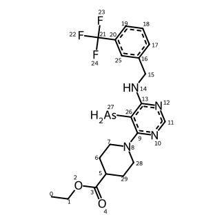 CCOC(=O)C1CCN(c2ncnc(NCc3cccc(C(F)(F)F)c3)c2[AsH2])CC1